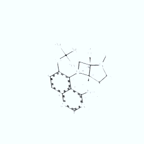 [2H]C([2H])([2H])Oc1ccc2ncnc(N)c2c1N1C[C@H]2[C@@H]1CCN2C